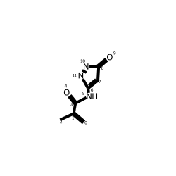 C=C(C)C(=O)NC1=CC(=O)N=N1